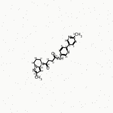 Cc1ccc(-c2ccc(NC(=O)CCC(=O)N3CCCn4nc(C)cc43)cn2)cn1